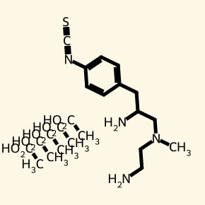 CC(=O)O.CC(=O)O.CC(=O)O.CC(=O)O.CC(=O)O.CN(CCN)CC(N)Cc1ccc(N=C=S)cc1